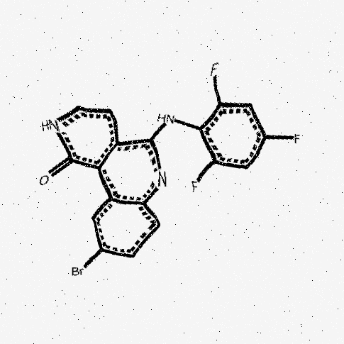 O=c1[nH]ccc2c(Nc3c(F)cc(F)cc3F)nc3ccc(Br)cc3c12